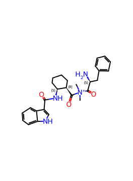 C[N+](C)(C(=O)[C@@H](N)Cc1ccccc1)C(=O)[C@@H]1CCCC[C@@H]1NC(=O)c1c[nH]c2ccccc12